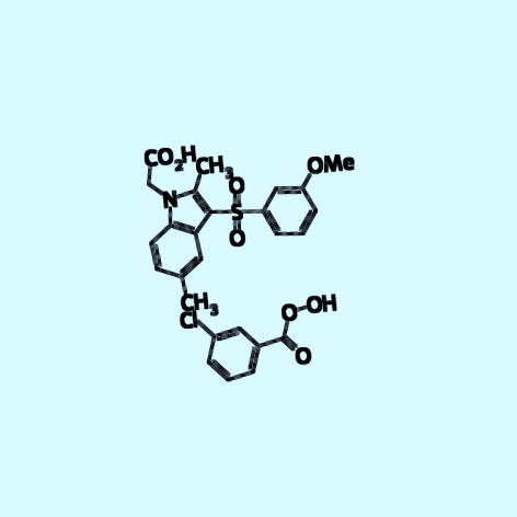 COc1cccc(S(=O)(=O)c2c(C)n(CC(=O)O)c3ccc(C)cc23)c1.O=C(OO)c1cccc(Cl)c1